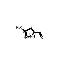 CC1=NNC(C=S)C1